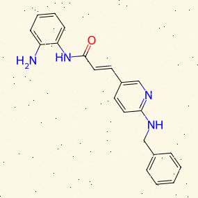 Nc1ccccc1NC(=O)C=Cc1ccc(NCc2ccccc2)nc1